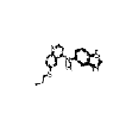 CCCSc1ccc2nccc(Nc3ccc4scnc4c3)c2c1